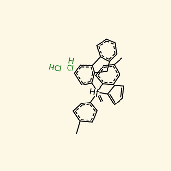 Cl.Cl.[CH2]=[Hf]([C]1=CC=CC1)([c]1ccc(C)cc1)([c]1ccc(C)cc1)[c]1cccc2c1Cc1ccccc1-2